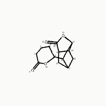 O=C1CCCC(C2C3CC4C(=O)OC2C4C3)O1